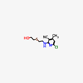 Cc1cc(Cl)nc(NCCSCCO)c1C#N